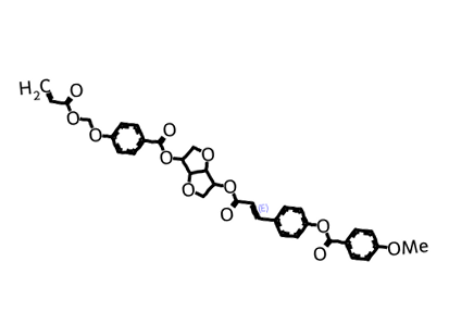 C=CC(=O)OCOc1ccc(C(=O)OC2COC3C(OC(=O)/C=C/c4ccc(OC(=O)c5ccc(OC)cc5)cc4)COC23)cc1